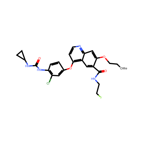 COCCOc1cc2nccc(Oc3ccc(NC(=O)NC4CC4)c(Cl)c3)c2cc1C(=O)NCCF